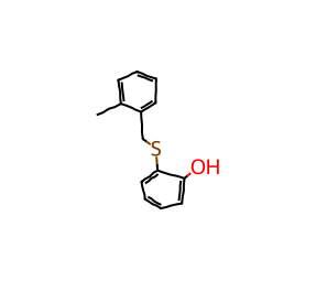 Cc1ccccc1CSc1ccccc1O